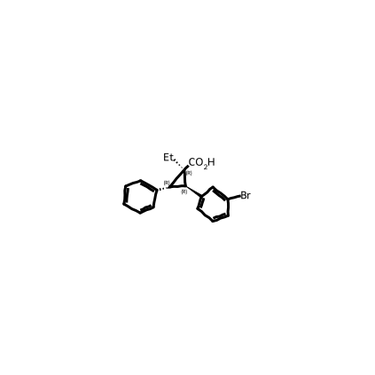 CC[C@@]1(C(=O)O)[C@@H](c2ccccc2)[C@@H]1c1cccc(Br)c1